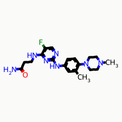 Cc1cc(Nc2ncc(F)c(NCCC(N)=O)n2)ccc1N1CCN(C)CC1